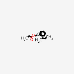 C=CC=C.C=COC(=O)C=C.c1ccccc1